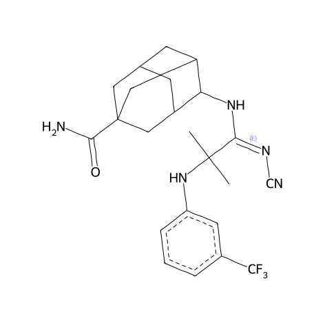 CC(C)(Nc1cccc(C(F)(F)F)c1)/C(=N\C#N)NC1C2CC3CC1CC(C(N)=O)(C3)C2